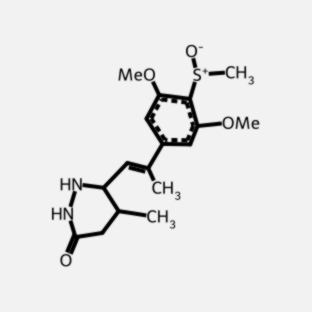 COc1cc(/C(C)=C/C2NNC(=O)CC2C)cc(OC)c1[S+](C)[O-]